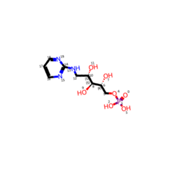 O=P(O)(O)OC[C@@H](O)[C@@H](O)[C@@H](O)CNc1ncccn1